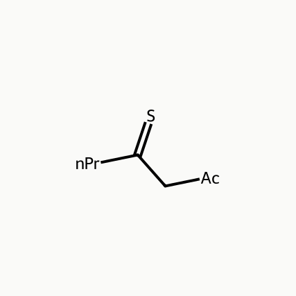 CCCC(=S)CC(C)=O